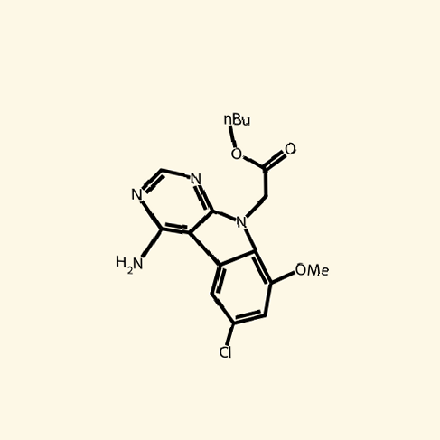 CCCCOC(=O)Cn1c2ncnc(N)c2c2cc(Cl)cc(OC)c21